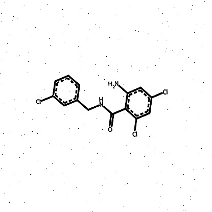 Nc1cc(Cl)cc(Cl)c1C(=O)NCc1cccc(Cl)c1